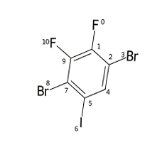 Fc1c(Br)cc(I)c(Br)c1F